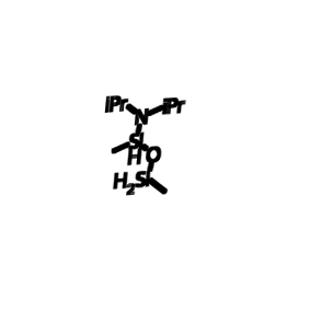 C[SiH2]O[SiH](C)N(C(C)C)C(C)C